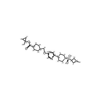 CN1CC(S(=O)(=O)N2CCN(c3cnc(OCC4CCN(C(=O)OC5(C)CC5)CC4)cn3)CC2)C1